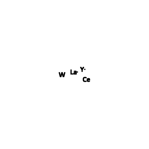 [Ce].[La].[W].[Y]